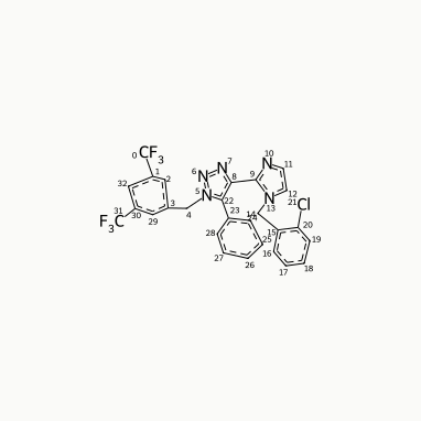 FC(F)(F)c1cc(Cn2nnc(-c3nccn3Cc3ccccc3Cl)c2-c2ccccc2)cc(C(F)(F)F)c1